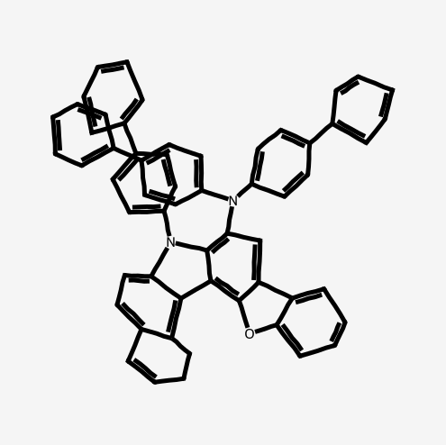 C1=Cc2ccc3c(c2CC1)c1c2oc4ccccc4c2cc(N(c2ccc(-c4ccccc4)cc2)c2ccc(-c4ccccc4)cc2)c1n3-c1ccc(-c2ccccc2)cc1